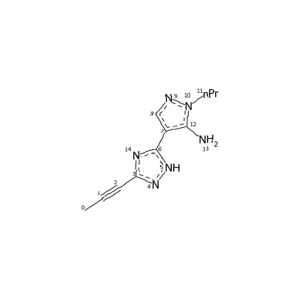 CC#Cc1n[nH]c(-c2cnn(CCC)c2N)n1